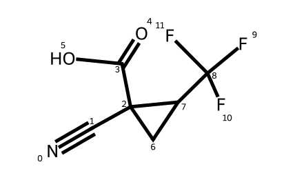 N#CC1(C(=O)O)CC1C(F)(F)F